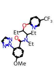 CCC(Oc1ccc(C(F)(F)F)cn1)C(CC)N(CC)C(=O)c1ccc(OC)cc1-n1nccn1